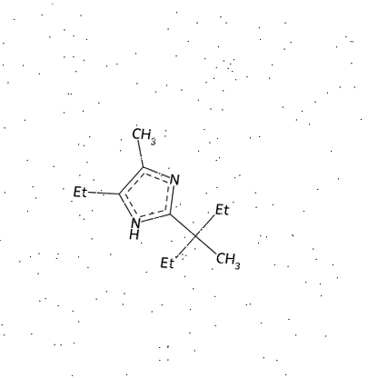 CCc1[nH]c(C(C)(CC)CC)nc1C